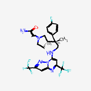 C[C@](CNc1cc(C(F)(F)F)nc2cc(C(F)(F)F)nn12)(c1ccc(F)cc1)[C@@H]1CCN(CC(N)=O)C1